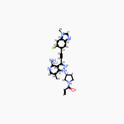 C=CC(=O)N1CC[C@H](n2nc(C#Cc3cc4ncn(C)c4cc3F)c3c(N)ncc(C)c32)C1